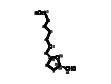 CCCCCCCCCCCCOC[C@H]1CC[C@@H](C=O)O1